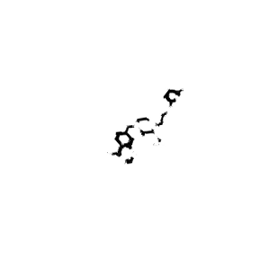 COC[C@H]1C(=O)N(Cc2ccc3c(N)ncnc3c2)CCN1CCOc1ccc(Cl)s1